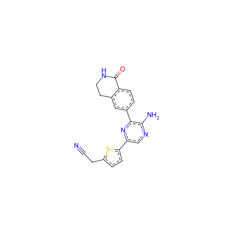 N#CCc1ccc(-c2cnc(N)c(-c3ccc4c(c3)CCNC4=O)n2)s1